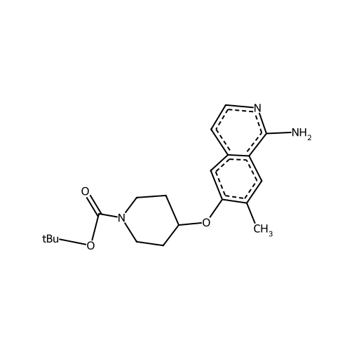 Cc1cc2c(N)nccc2cc1OC1CCN(C(=O)OC(C)(C)C)CC1